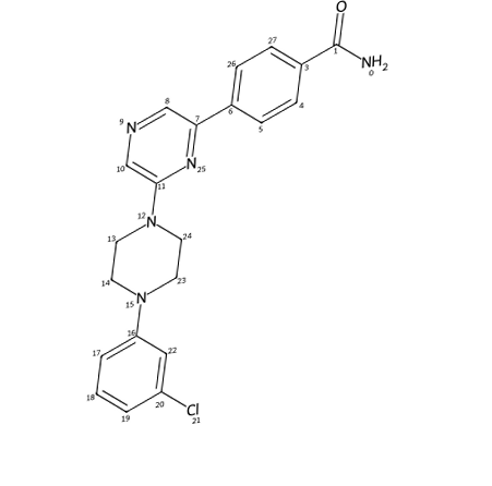 NC(=O)c1ccc(-c2cncc(N3CCN(c4cccc(Cl)c4)CC3)n2)cc1